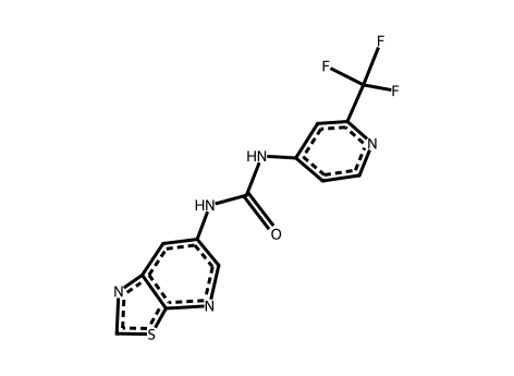 O=C(Nc1ccnc(C(F)(F)F)c1)Nc1cnc2scnc2c1